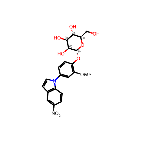 COc1cc(-n2ccc3cc([N+](=O)[O-])ccc32)ccc1O[C@H]1O[C@H](CO)[C@@H](O)[C@H](O)[C@@H]1O